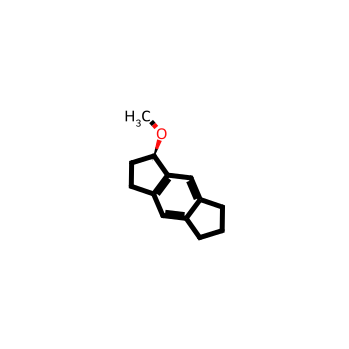 CO[C@@H]1CCc2cc3c(cc21)CCC3